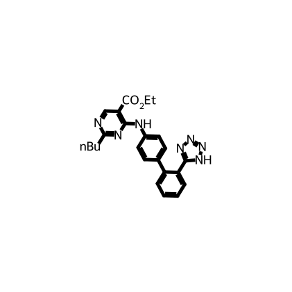 CCCCc1ncc(C(=O)OCC)c(Nc2ccc(-c3ccccc3-c3nnn[nH]3)cc2)n1